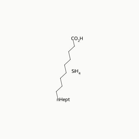 CCCCCCCCCCCCCCCC(=O)O.[SiH4]